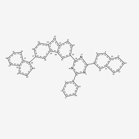 c1ccc(-c2nc(-c3ccc4ccccc4c3)nc(-c3ccc4oc5ccc(-c6cccc7ccccc67)cc5c4c3)n2)cc1